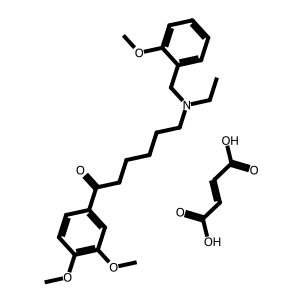 CCN(CCCCCC(=O)c1ccc(OC)c(OC)c1)Cc1ccccc1OC.O=C(O)C=CC(=O)O